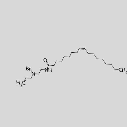 C=CCN(Br)CCNC(=O)CCCCCCC/C=C\CCCCCCCC